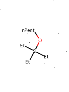 [CH2]CCCCO[Si](CC)(CC)CC